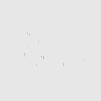 CCc1cnccc1-c1cccc(C(C)N(CCCC(=O)NCS(=O)(=O)O)S(=O)(=O)c2ccccc2C(F)(F)F)c1